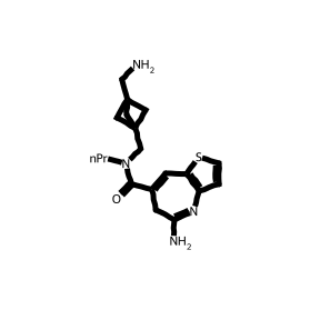 CCCN(CC12CC(CN)(C1)C2)C(=O)C1=Cc2sccc2N=C(N)C1